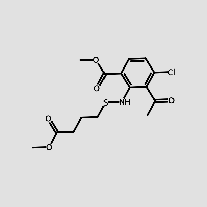 COC(=O)CCCSNc1c(C(=O)OC)ccc(Cl)c1C(C)=O